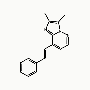 Cc1nc2c(C=Cc3ccccc3)ccnn2c1C